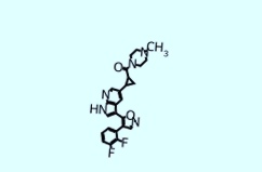 CN1CCN(C(=O)C2CC2c2cnc3[nH]cc(-c4oncc4-c4cccc(F)c4F)c3c2)CC1